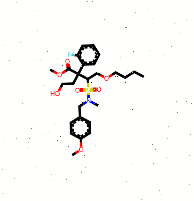 CCCCOCC(C(CCO)(C(=O)OC)c1ccccc1F)S(=O)(=O)N(C)Cc1ccc(OC)cc1